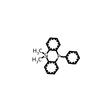 C[Si]1(C)c2ccccc2P(c2ccccc2)c2ccccc21